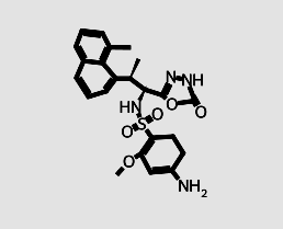 COC1=C(S(=O)(=O)N[C@H](c2n[nH]c(=O)o2)[C@H](C)c2cccc3cccc(C)c23)CCC(N)=C1